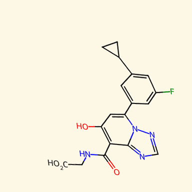 O=C(O)CNC(=O)c1c(O)cc(-c2cc(F)cc(C3CC3)c2)n2ncnc12